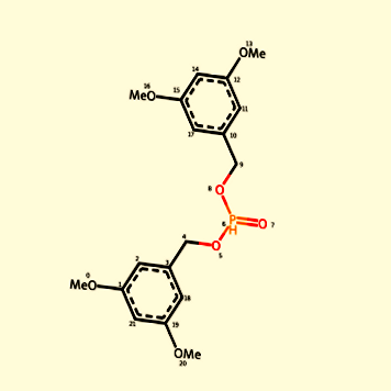 COc1cc(CO[PH](=O)OCc2cc(OC)cc(OC)c2)cc(OC)c1